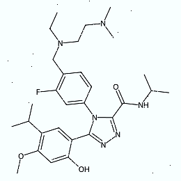 CCN(CCN(C)C)Cc1ccc(-n2c(C(=O)NC(C)C)nnc2-c2cc(C(C)C)c(OC)cc2O)cc1F